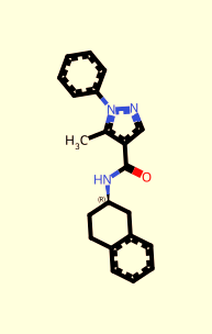 Cc1c(C(=O)N[C@@H]2CCc3ccccc3C2)cnn1-c1ccccc1